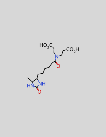 CC1NC(=O)NC1CCCCCC(=O)N(CCC(=O)O)CCC(=O)O